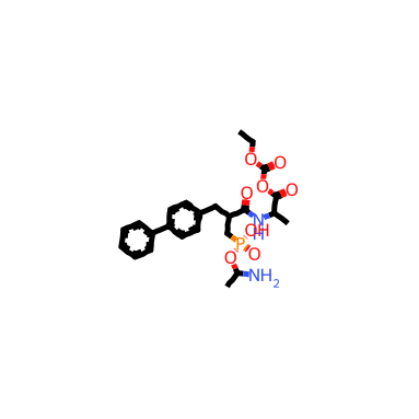 CCOC(=O)OC(=O)C(C)NC(=O)C(Cc1ccc(-c2ccccc2)cc1)CP(=O)(O)OC(C)N